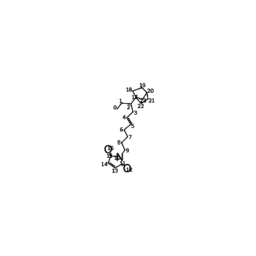 CCC(CC=CCCCCN1C(=O)C=CC1=O)C12CCC(CC1)C2